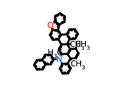 CC1C=CC2(C)C3=C1C1(C)C(=CC3(C)N(c3ccc4ccccc4c3)c3ccccc32)c2ccc3oc4ccccc4c3c2-c2ccccc21